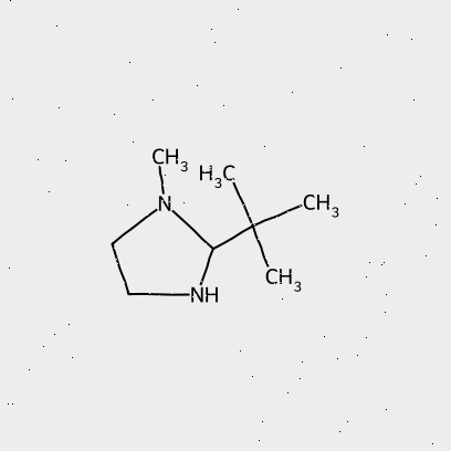 CN1CCNC1C(C)(C)C